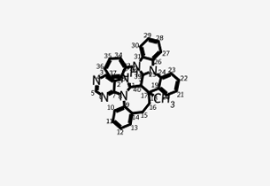 CN1c2cncnc2N2c3ccccc3CCC3(C)c4ccccc4N4c5ccccc5N(c5ccccc5)C4C3C12